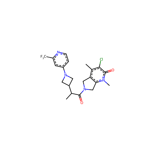 Cc1c2c(n(C)c(=O)c1Cl)CN(C(=O)C(C)C1CN(c3ccnc(C(F)(F)F)c3)C1)C2